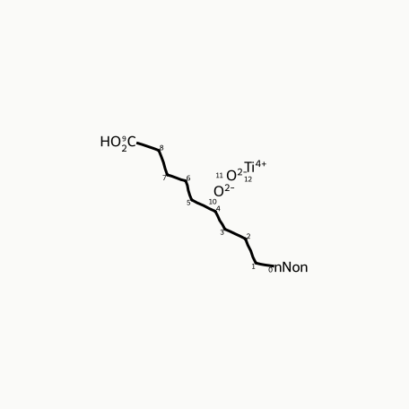 CCCCCCCCCCCCCCCCCC(=O)O.[O-2].[O-2].[Ti+4]